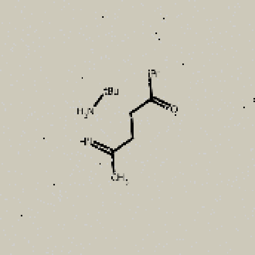 CC(=N)CCC(=O)C(C)C.CC(C)(C)N